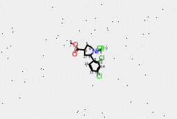 COC(=O)C1CCNC(c2ccc(Cl)cc2Cl)C1.Cl